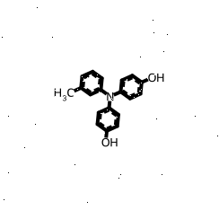 Cc1cccc(N(c2ccc(O)cc2)c2ccc(O)cc2)c1